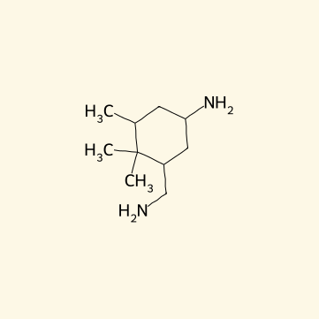 CC1CC(N)CC(CN)C1(C)C